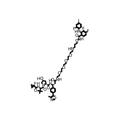 Cc1ncsc1-c1ccc([C@H](CC(=O)NCCOCCOCCOCCOCCNCCCONC(=O)c2ccc(F)c(F)c2Nc2ccc(I)cc2F)NC(=O)[C@@H]2C[C@@H](O)CN2C(=O)C(NC(=O)C2(F)CC2)C(C)(C)C)cc1